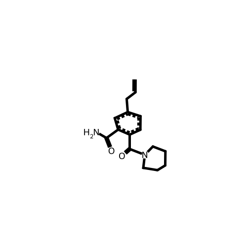 C=CCc1ccc(C(=O)N2CCCCC2)c(C(N)=O)c1